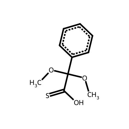 COC(OC)(C(O)=S)c1ccccc1